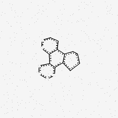 c1ccc2c(c1)c1ccnnc1c1nnnnc21